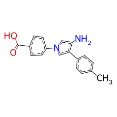 Cc1ccc(-c2cn(-c3ccc(C(=O)O)cc3)cc2N)cc1